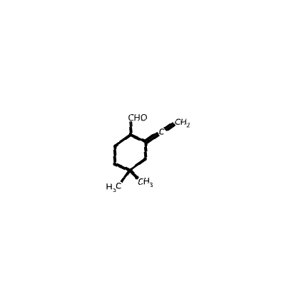 C=C=C1CC(C)(C)CCC1C=O